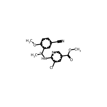 COC(=O)c1cnc(N[C@@H](C)c2cc(C#N)ccc2OC)c(Cl)c1